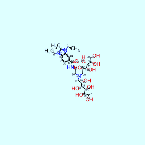 CCn1c(C)[n+](CC)c2ccc(C(=O)NCCN(C[C@H](O)[C@@H](O)[C@H](O)[C@H](O)CO)C[C@H](O)[C@@H](O)[C@H](O)[C@H](O)CO)cc21